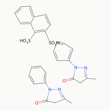 CC1=NN(c2ccccc2)C(=O)C1.CC1=NN(c2ccccc2)C(=O)C1.O=S(=O)(O)c1ccc2ccccc2c1S(=O)(=O)O